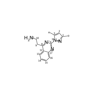 Cc1cc(C)n(-c2nc(CCN)c3ccccc3n2)n1